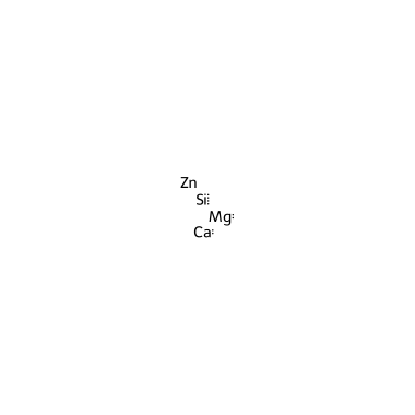 [Ca].[Mg].[Si].[Zn]